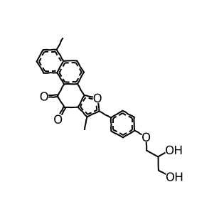 Cc1c(-c2ccc(OCC(O)CO)cc2)oc2c1C(=O)C(=O)c1c-2ccc2c(C)cccc12